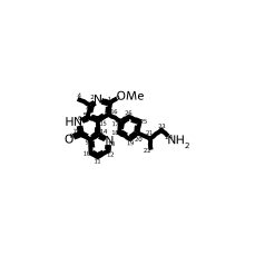 COc1nc(C)c2[nH]c(=O)c3cccnc3c2c1-c1ccc(C(C)CN)cc1